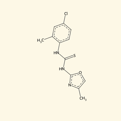 Cc1coc(NC(=S)Nc2ccc(Cl)cc2C)n1